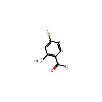 CCOC(=O)c1cc(Br)ccc1C(=O)CC